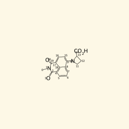 CN1C(=O)c2cccc3c(N4CCC4C(=O)O)ccc(c23)C1=O